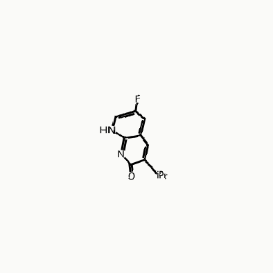 CC(C)c1cc2cc(F)c[nH]c-2nc1=O